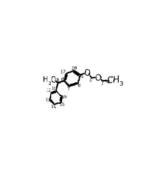 CCOCOc1ccc(C(C)c2ccccc2)cc1